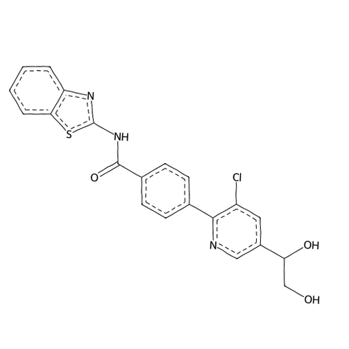 O=C(Nc1nc2ccccc2s1)c1ccc(-c2ncc(C(O)CO)cc2Cl)cc1